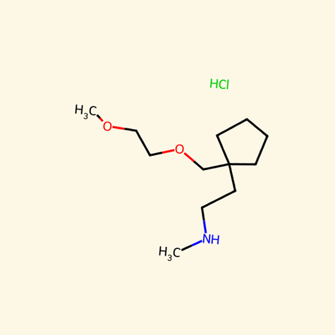 CNCCC1(COCCOC)CCCC1.Cl